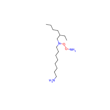 CCCCC(CC)CN(CCCCCCCCN)OON